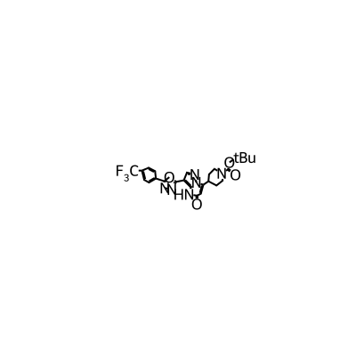 CC(C)(C)OC(=O)N1CCC(c2cc(=O)[nH]c3c(-c4nnc(-c5ccc(C(F)(F)F)cc5)o4)cnn23)CC1